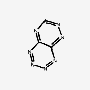 [c]1nnc2nnnnc2n1